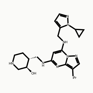 CC(C)c1cnn2c(NCc3ccnn3C3CC3)cc(NC[C@H]3CCNC[C@@H]3O)nc12